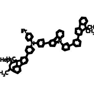 CCCCCCCC1CC(C)c2ccc3c(c2)C1(C)c1cc(-c2ccc(N(c4ccc(-c5ccc6c(c5)c5ccccc5n6-c5cccc(-c6cccc(-c7ccc8c(c7)C(C)(C)c7ccccc7-8)c6)c5)cc4)c4ccc(C(C)C)cc4)cc2)ccc1-3